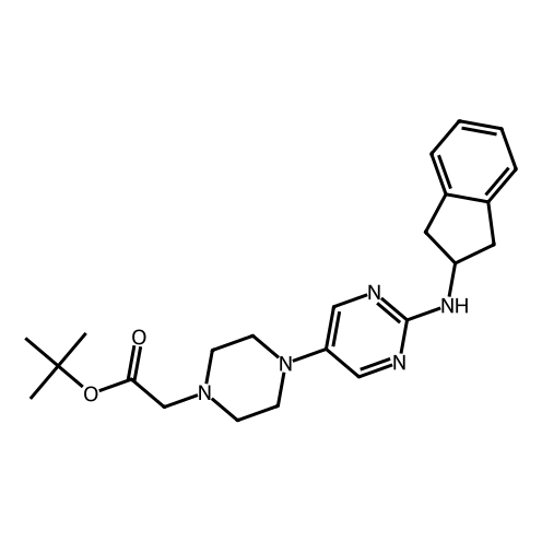 CC(C)(C)OC(=O)CN1CCN(c2cnc(NC3Cc4ccccc4C3)nc2)CC1